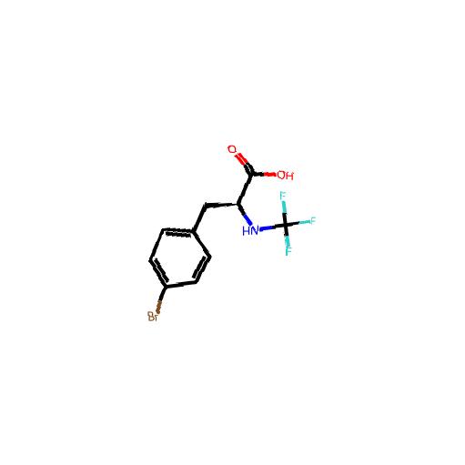 O=C(O)[C@H](Cc1ccc(Br)cc1)NC(F)(F)F